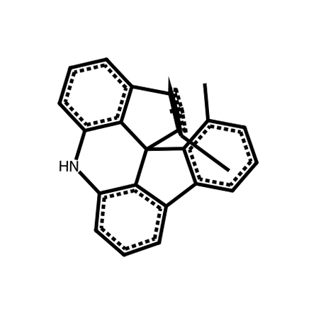 Cc1cccc2c1C13c4c(C)cccc4-c4cccc(c41)Nc1cccc-2c13